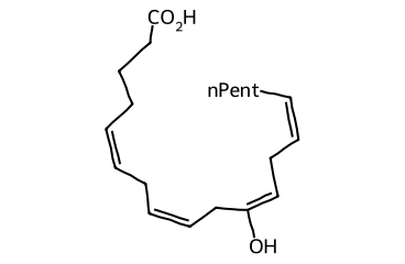 CCCCC/C=C\C/C=C(/O)C/C=C\C/C=C\CCCC(=O)O